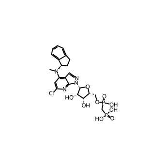 CN(c1cc(Cl)nc2c1cnn2[C@@H]1O[C@H](COP(=O)(O)CP(=O)(O)O)[C@H](O)[C@@H]1O)[C@@H]1CCc2ccccc21